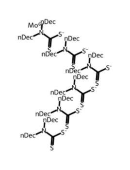 CCCCCCCCCCN(CCCCCCCCCC)C(=S)[S-].CCCCCCCCCCN(CCCCCCCCCC)C(=S)[S-].CCCCCCCCCCN(CCCCCCCCCC)C(=S)[S-].CCCCCCCCCCN(CCCCCCCCCC)C(=S)[S-].CCCCCCCCCCN(CCCCCCCCCC)C(=S)[S-].CCCCCCCCCCN(CCCCCCCCCC)C(=S)[S-].[Mo+6]